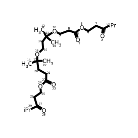 CC(C)C(=O)CCOC(=O)CCOC(C)(C)CCOC(C)(C)CCC(=O)OCCC(=O)C(C)C